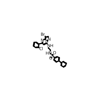 O=S(=O)(NCCNc1cc(-c2ccccc2Cl)nc2c(Br)cnn12)c1ccc(-c2ccccc2)cc1